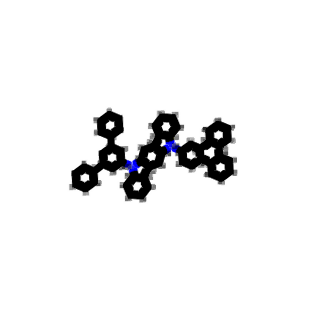 c1ccc(-c2cc(-c3ccccc3)cc(-n3c4ccccc4c4cc5c(cc43)c3ccccc3n5-c3ccc4c5ccccc5c5ccccc5c4c3)c2)cc1